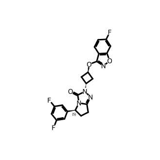 O=c1n2c(nn1[C@H]1C[C@H](Oc3noc4cc(F)ccc34)C1)CC[C@H]2c1cc(F)cc(F)c1